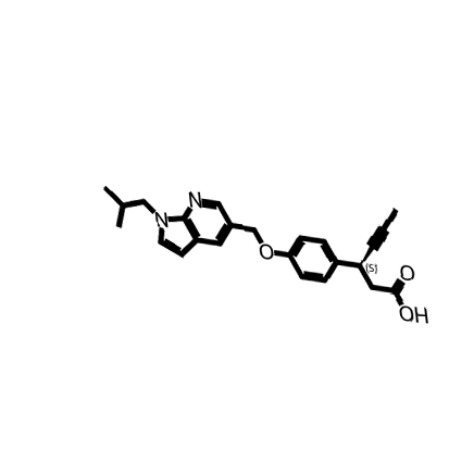 CC#C[C@@H](CC(=O)O)c1ccc(OCc2cnc3c(ccn3CC(C)C)c2)cc1